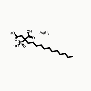 CCCCCCCCCCCCC(CC(=O)O)(C(=O)O)S(=O)(=O)O.[MgH2]